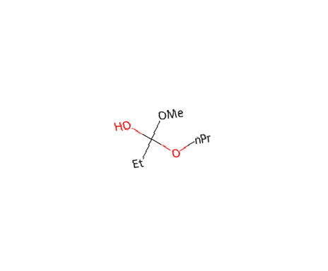 CCCOC(O)(CC)OC